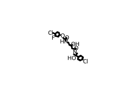 O=C(COc1ccc(Cl)c(F)c1)NCC[C@@H](O)CC(=O)N1CC(O)(c2ccc(Cl)cc2)C1